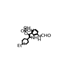 CCN1CCC(c2[nH]c3c(NC=O)cccc3c2OP(=O)(O)O)CC1